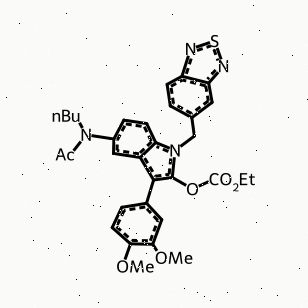 CCCCN(C(C)=O)c1ccc2c(c1)c(-c1ccc(OC)c(OC)c1)c(OC(=O)OCC)n2Cc1ccc2nsnc2c1